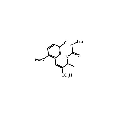 COc1ccc(Cl)cc1/C=C(/C(=O)O)C(C)NC(=O)OC(C)(C)C